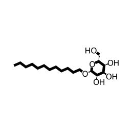 CCCCCCCCCCCCO[C@@H]1O[C@H](CO)[C@H](O)[C@@H](O)[C@@H]1O